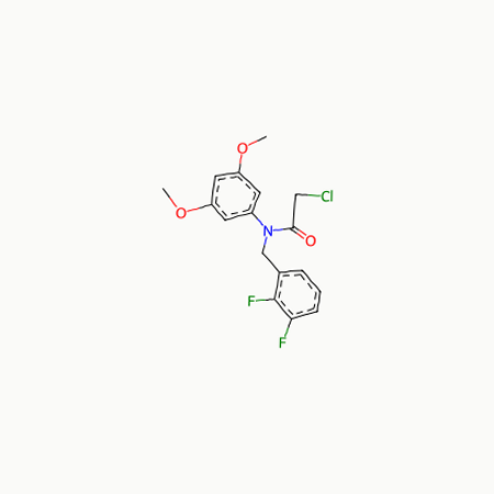 COc1cc(OC)cc(N(Cc2cccc(F)c2F)C(=O)CCl)c1